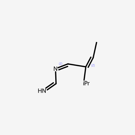 C/C=C(\C=N/C=N)C(C)C